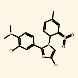 CC1=CC(=S(=O)=O)C(n2cc(Cl)nc2-c2ccc(N(C)C)c(Cl)c2)C=C1